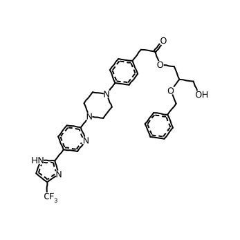 O=C(Cc1ccc(N2CCN(c3ccc(-c4nc(C(F)(F)F)c[nH]4)cn3)CC2)cc1)OCC(CO)OCc1ccccc1